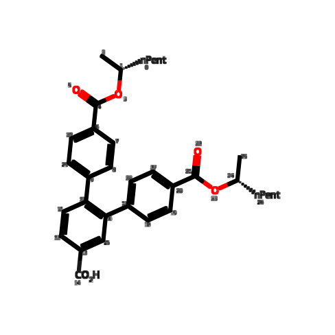 CCCCC[C@@H](C)OC(=O)c1ccc(-c2ccc(C(=O)O)cc2-c2ccc(C(=O)O[C@H](C)CCCCC)cc2)cc1